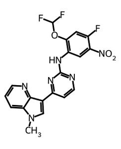 Cn1cc(-c2ccnc(Nc3cc([N+](=O)[O-])c(F)cc3OC(F)F)n2)c2ncccc21